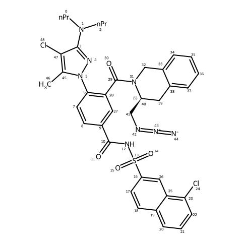 CCCN(CCC)c1nn(-c2ccc(C(=O)NS(=O)(=O)c3ccc4cccc(Cl)c4c3)cc2C(=O)N2Cc3ccccc3C[C@H]2CN=[N+]=[N-])c(C)c1Cl